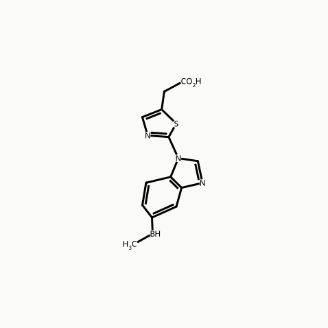 CBc1ccc2c(c1)ncn2-c1ncc(CC(=O)O)s1